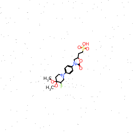 COC1(OC)CCN(c2ccc(N3CC(CCS(=O)(=O)O)OC3=O)cc2)CC1F